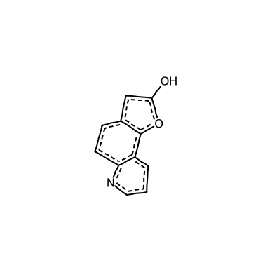 Oc1cc2ccc3ncccc3c2o1